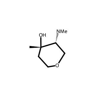 CN[C@@H]1COCC[C@]1(C)O